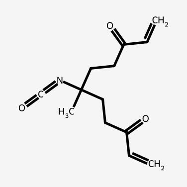 C=CC(=O)CCC(C)(CCC(=O)C=C)N=C=O